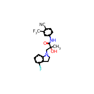 CC(O)(CN1CCc2c(F)cccc21)C(=O)Nc1ccc(C#N)c(C(F)(F)F)c1